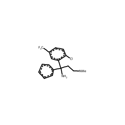 CNCCC(N)(c1ccccc1)c1cc(C(F)(F)F)ccc1Cl